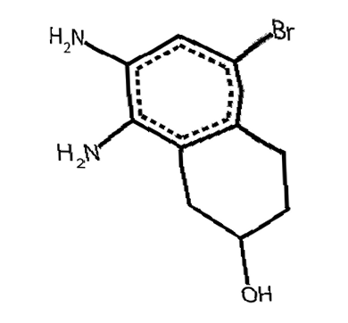 Nc1cc(Br)c2c(c1N)CC(O)CC2